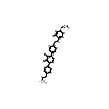 CCCc1ccc(-c2ccc(-c3ccc(CCC4=CC[C@H](CC)C=C4F)cc3)c(F)c2F)cc1